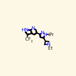 CCN1CC(c2cc(-c3cnc4[nH]cc(C(F)(F)F)c4c3)nn2C(C)C)C1